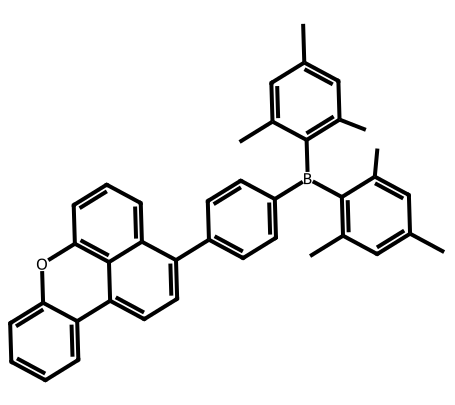 Cc1cc(C)c(B(c2ccc(-c3ccc4c5c(cccc35)Oc3ccccc3-4)cc2)c2c(C)cc(C)cc2C)c(C)c1